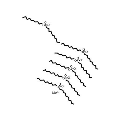 CCCCCCCCCCOP(=O)([O-])CCCCCCCCCC.CCCCCCCCCCOP(=O)([O-])CCCCCCCCCC.CCCCCCCCCCOP(=O)([O-])CCCCCCCCCC.CCCCCCCCCCOP(=O)([O-])CCCCCCCCCC.CCCCCCCCCCOP(=O)([O-])CCCCCCCCCC.CCCCCCCCCCOP(=O)([O-])CCCCCCCCCC.[Mo+6]